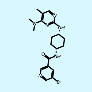 Cc1cnc(N[C@H]2CC[C@@H](NC(=O)c3cncc(Br)c3)CC2)nc1N(C)C